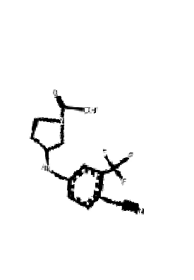 N#Cc1ccc(NC2CCN(C(=O)O)C2)cc1C(F)(F)F